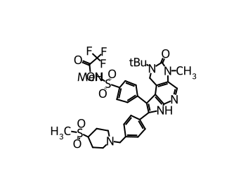 CNS(=O)(=O)c1ccc(-c2c(-c3ccc(CN4CCC(S(C)(=O)=O)CC4)cc3)[nH]c3ncc4c(c23)CN(C(C)(C)C)C(=O)N4C)cc1.O=C(O)C(F)(F)F